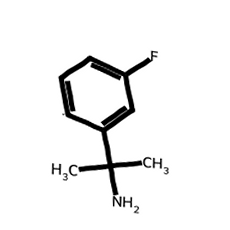 CC(C)(N)c1[c]ccc(F)c1